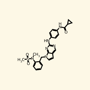 CN(c1ccccc1Cn1ccc2cnc(Nc3ccc(NC(=O)C4CC4)cc3)nc21)S(C)(=O)=O